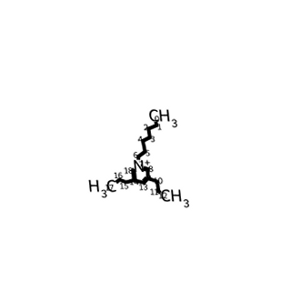 CCCCCCC[n+]1cc(CCC)cc(CCC)c1